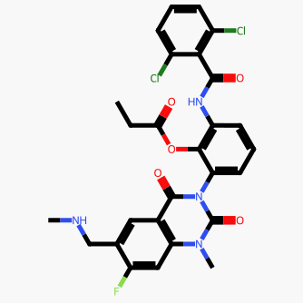 CCC(=O)Oc1c(NC(=O)c2c(Cl)cccc2Cl)cccc1-n1c(=O)c2cc(CNC)c(F)cc2n(C)c1=O